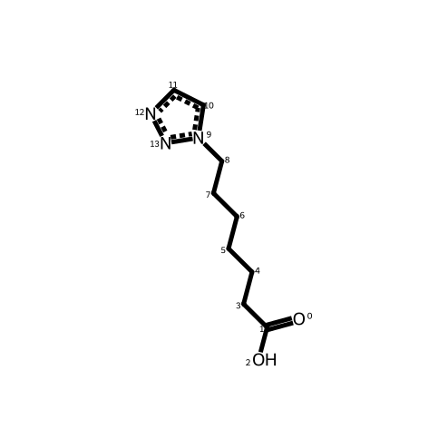 O=C(O)CCCCCCn1ccnn1